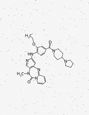 CCOc1cc(C(=O)N2CCC(N3CCCC3)CC2)ccc1Nc1cc2c(cn1)N(C)C(=O)N1C=CC=CC1=N2